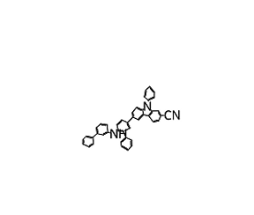 N#Cc1ccc2c3cc(-c4ccc(Nc5cccc(-c6ccccc6)c5)c(-c5ccccc5)c4)ccc3n(-c3ccccc3)c2c1